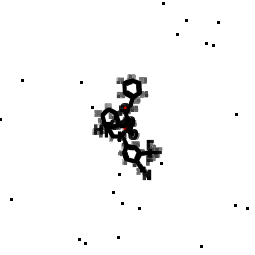 N#Cc1ccc(N2C[C@@H]3[C@@H]4CC[C@@H](O4)[C@]3(C(=O)OCc3ccccc3)S2(=O)=O)cc1C(F)(F)F